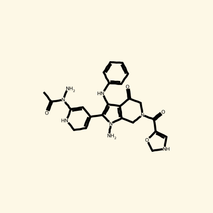 CC(=O)N(N)C1=CC(c2c(Nc3ccccc3)c3c(n2N)CN(C(=O)C2=CNCO2)CC3=O)=CCN1